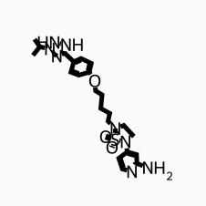 CC(C)N1N=C(c2ccc(OCCCCCN3CCN(c4ccnc(N)c4)S3(=O)=O)cc2)NN1